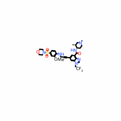 COc1cc(S(=O)(=O)N2CCOCC2)ccc1NCC#Cc1cc(C(=O)N[C@H]2CCN(C)C[C@@H]2C)c2ncn(CC(F)(F)F)c2c1